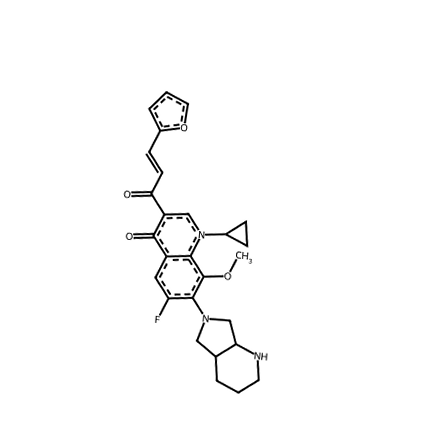 COc1c(N2CC3CCCNC3C2)c(F)cc2c(=O)c(C(=O)C=Cc3ccco3)cn(C3CC3)c12